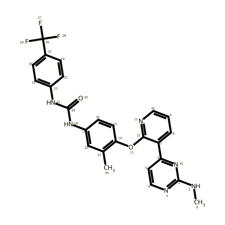 CNc1nccc(-c2cccnc2Oc2ccc(NC(=O)Nc3ccc(C(F)(F)F)cc3)cc2C)n1